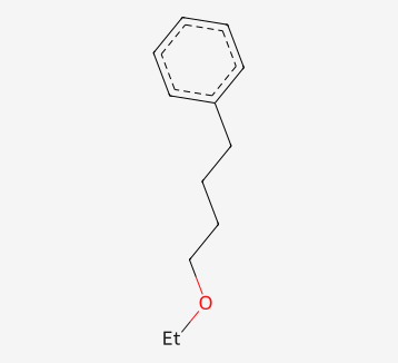 CCOCCCCc1ccccc1